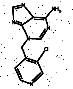 Nc1ncn(Cc2ccncc2Cl)c2ncnc1-2